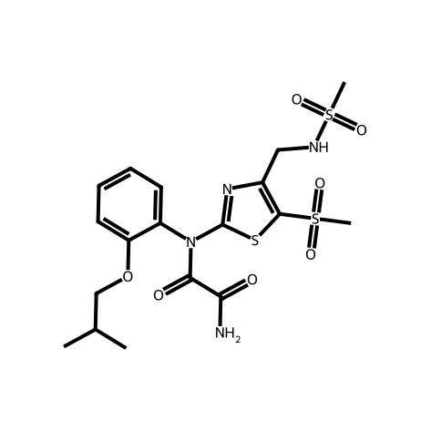 CC(C)COc1ccccc1N(C(=O)C(N)=O)c1nc(CNS(C)(=O)=O)c(S(C)(=O)=O)s1